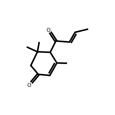 CC=CC(=O)C1C(C)=CC(=O)CC1(C)C